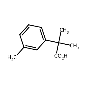 [CH2]c1cccc(C(C)(C)C(=O)O)c1